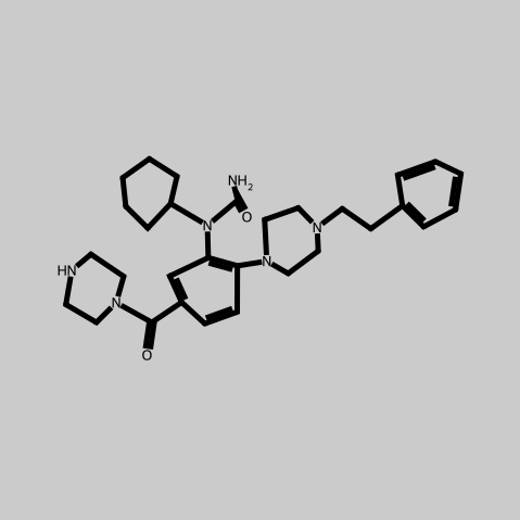 NC(=O)N(c1cc(C(=O)N2CCNCC2)ccc1N1CCN(CCc2ccccc2)CC1)C1CCCCC1